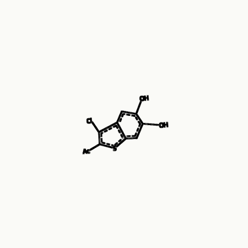 CC(=O)c1sc2cc(O)c(O)cc2c1Cl